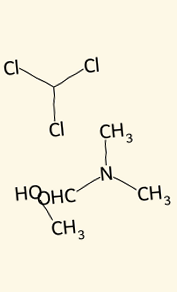 CN(C)C=O.CO.ClC(Cl)Cl